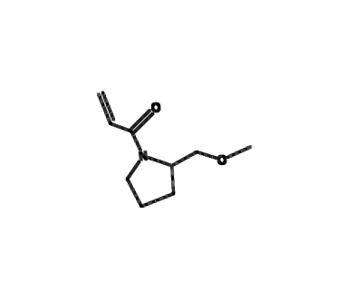 C=CC(=O)N1CCCC1COC